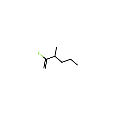 C=C(F)C(C)CCC